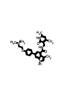 Cc1cc(C)c(CNC(=O)c2cc(-c3ccc(OCCN(C)C)cc3)cc3c2c(C)cn3C(C)C)c(=O)[nH]1